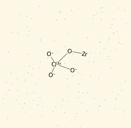 [O-][Cl+3]([O-])([O-])[O][Zr]